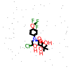 CC(C)(C)[C@](O)(C(=O)O)[C@@H](O)C(=O)N(CCCl)c1ccc(OC(F)(F)F)cc1